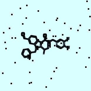 CC(C)c1c(C(=O)NCc2ccc(F)c(F)c2)c2ccc(C=O)cc2n1Cc1ccccn1